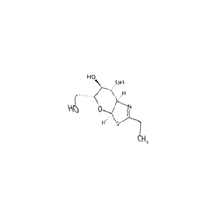 CCC1=N[C@@H]2[C@@H](O)[C@H](O)[C@@H](CO)O[C@@H]2S1